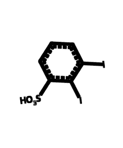 O=S(=O)(O)c1cccc(I)c1I